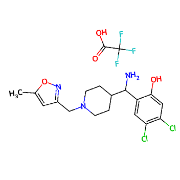 Cc1cc(CN2CCC(C(N)c3cc(Cl)c(Cl)cc3O)CC2)no1.O=C(O)C(F)(F)F